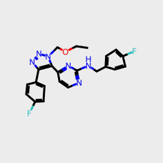 CCOCn1nnc(-c2ccc(F)cc2)c1-c1ccnc(NCc2ccc(F)cc2)n1